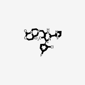 O=C(O)C1=C(CN2CCN3C(=O)OCCC3C2)NC(c2nccs2)=N[C@H]1c1ccc(F)cc1Cl